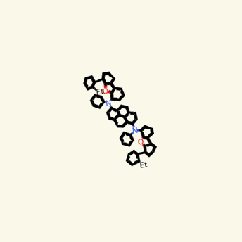 CCc1ccccc1-c1cccc2c1oc1c(N(c3ccccc3)c3ccc4ccc5c(N(c6ccccc6)c6cccc7c6oc6c(-c8ccccc8CC)cccc67)ccc6ccc3c4c65)cccc12